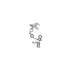 Cn1c(-c2nc3ccccc3n2CCCc2ccc(OC3CCN(C(=O)OC(C)(C)C)CC3)cc2)cc2sccc21